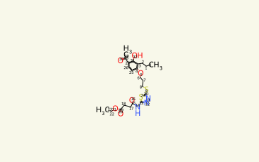 CCCc1c(OCCCSc2nnc(NC(=O)CCC(=O)OCC)s2)ccc(C(C)=O)c1O